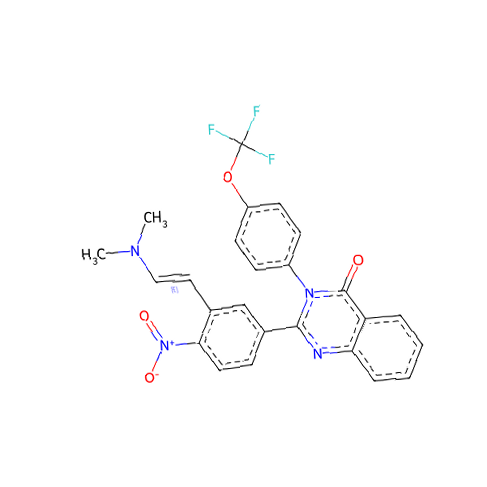 CN(C)/C=C/c1cc(-c2nc3ccccc3c(=O)n2-c2ccc(OC(F)(F)F)cc2)ccc1[N+](=O)[O-]